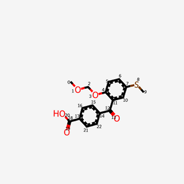 COCOc1ccc(SC)cc1C(=O)c1ccc(C(=O)O)cc1